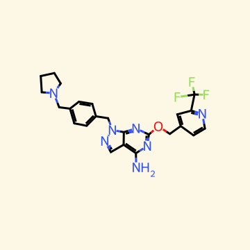 Nc1nc(OCc2ccnc(C(F)(F)F)c2)nc2c1cnn2Cc1ccc(CN2CCCC2)cc1